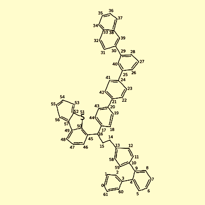 c1ccc(-c2ccccc2-c2ccc(CCC(c3ccc(-c4ccc(-c5cccc(-c6ccc7ccccc7c6)c5)cc4)cc3)c3cccc4c3sc3ccccc34)cc2)cc1